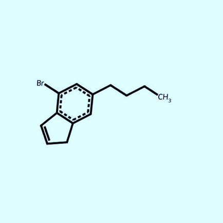 CCCCc1cc(Br)c2c(c1)CC=C2